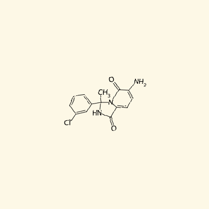 CC1(c2cccc(Cl)c2)NC(=O)c2ccc(N)c(=O)n21